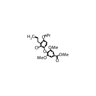 C=CCc1c(OCCC)ccc(Oc2c(OC)cc(C(=O)OC)cc2OC)c1Cl